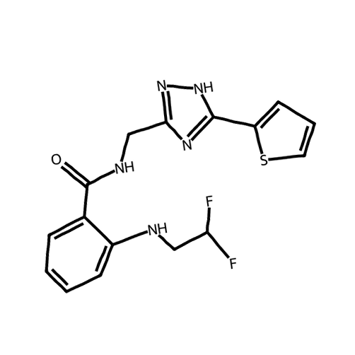 O=C(NCc1n[nH]c(-c2cccs2)n1)c1ccccc1NCC(F)F